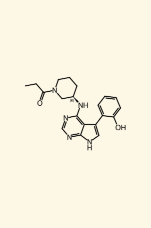 CCC(=O)N1CCC[C@@H](Nc2ncnc3[nH]cc(-c4ccccc4O)c23)C1